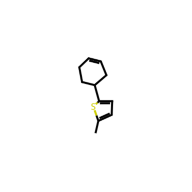 Cc1ccc(C2CC=CCC2)s1